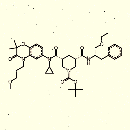 CCOC[C@H](Cc1ccccc1)NC(=O)[C@H]1C[C@@H](C(=O)N(c2ccc3c(c2)N(CCCOC)C(=O)C(C)(C)O3)C2CC2)CN(C(=O)OC(C)(C)C)C1